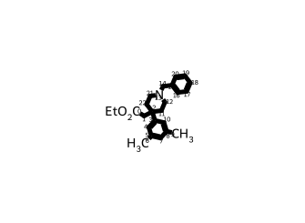 CCOC(=O)CC1(c2cc(C)cc(C)c2)CCN(Cc2ccccc2)CC1